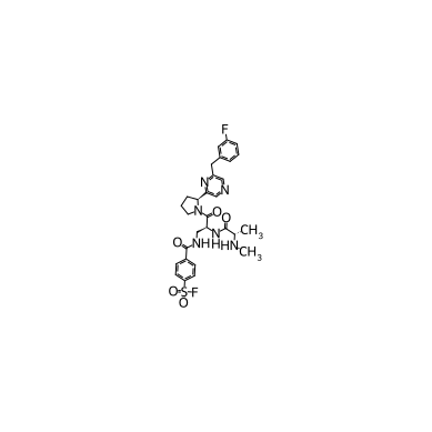 CN[C@@H](C)C(=O)N[C@@H](CNC(=O)c1ccc(S(=O)(=O)F)cc1)C(=O)N1CCC[C@H]1c1cncc(Cc2cccc(F)c2)n1